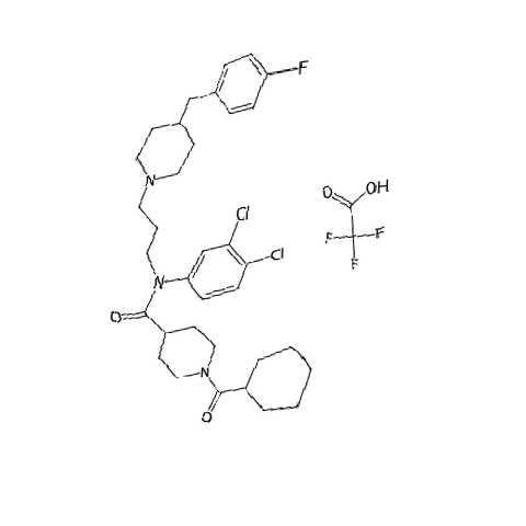 O=C(C1CCCCC1)N1CCC(C(=O)N(CCCN2CCC(Cc3ccc(F)cc3)CC2)c2ccc(Cl)c(Cl)c2)CC1.O=C(O)C(F)(F)F